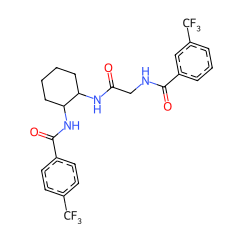 O=C(CNC(=O)c1cccc(C(F)(F)F)c1)NC1CCCCC1NC(=O)c1ccc(C(F)(F)F)cc1